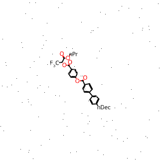 CCCCCCCCCCc1ccc(-c2ccc(C(=O)Oc3ccc(C(=O)OC(C(=O)OCCC)C(F)(F)F)cc3)cc2)cc1